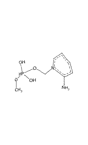 CO[PH](O)(O)OC[n+]1ccccc1N